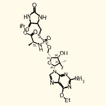 CCOc1nc(N)nc2c1ncn2[C@@H]1O[C@H](CO[P@@](=O)(N[C@@H](C)C(=O)OC(C)C)SCC2NC(=O)NC2=O)[C@@H](O)[C@@]1(C)F